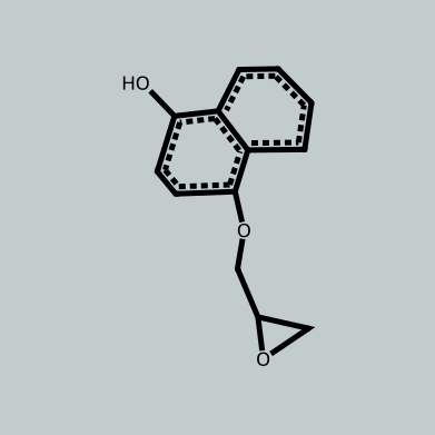 Oc1ccc(OCC2CO2)c2ccccc12